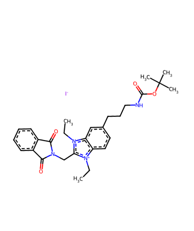 CCn1c(CN2C(=O)c3ccccc3C2=O)[n+](CC)c2ccc(CCCNC(=O)OC(C)(C)C)cc21.[I-]